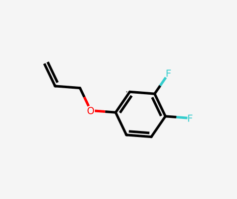 C=CCOc1[c]c(F)c(F)cc1